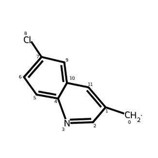 [CH2]c1cnc2ccc(Cl)cc2c1